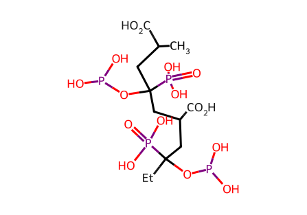 CCC(CC(CC(CC(C)C(=O)O)(OP(O)O)P(=O)(O)O)C(=O)O)(OP(O)O)P(=O)(O)O